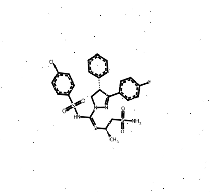 C[C@H](CS(N)(=O)=O)/N=C(/NS(=O)(=O)c1ccc(Cl)cc1)N1C[C@H](c2ccccc2)C(c2ccc(F)cc2)=N1